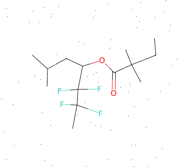 CCC(C)(C)C(=O)OC(CC(C)C)C(F)(F)C(C)(F)F